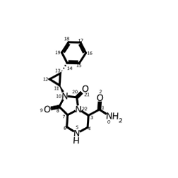 NC(=O)C1CNCC2C(=O)N([C@H]3C[C@@H]3c3ccccc3)C(=O)N12